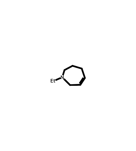 CCN1CC=CCCC1